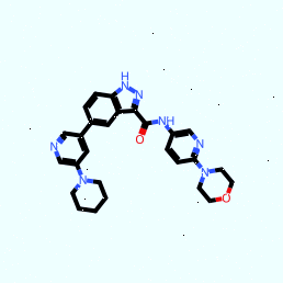 O=C(Nc1ccc(N2CCOCC2)nc1)c1n[nH]c2ccc(-c3cncc(N4CCCCC4)c3)cc12